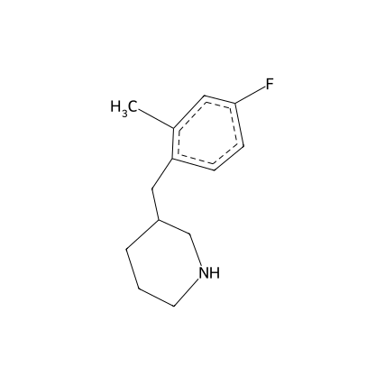 Cc1cc(F)ccc1CC1CCCNC1